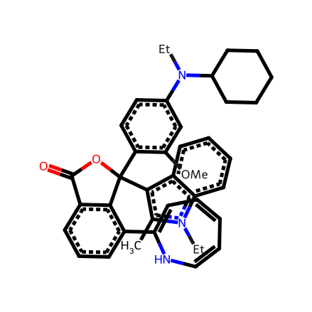 CCN(c1ccc(C2(c3c(C)n(CC)c4ccccc34)OC(=O)c3cccc(C4=CC=CC=CN4)c32)c(OC)c1)C1CCCCC1